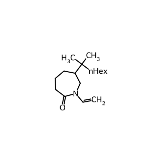 C=CN1CC(C(C)(C)CCCCCC)CCCC1=O